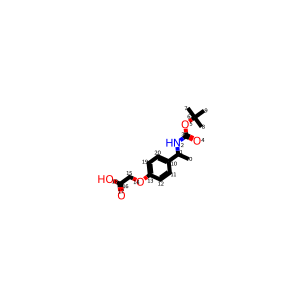 CC(NC(=O)OC(C)(C)C)c1ccc(OCC(=O)O)cc1